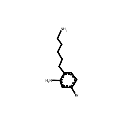 NCCCCCc1ccc(Br)cc1N